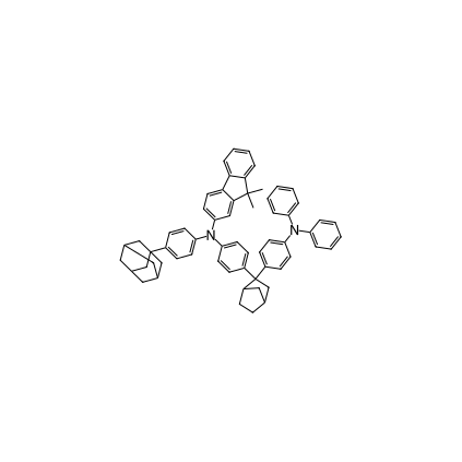 CC1(C)c2ccccc2-c2ccc(N(c3ccc(C45CC6CC(CC(C6)C4)C5)cc3)c3ccc(C4(c5ccc(N(c6ccccc6)c6ccccc6)cc5)CC5CCC4C5)cc3)cc21